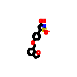 [O-][s+]1nc(O)cc1-c1ccc(OCc2cccc3c2OCC3)cc1